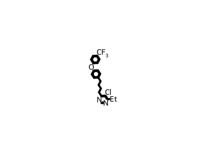 CCc1ncnc(CCCCc2ccc(Oc3ccc(C(F)(F)F)cc3)cc2)c1Cl